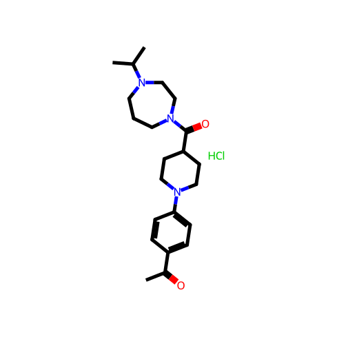 CC(=O)c1ccc(N2CCC(C(=O)N3CCCN(C(C)C)CC3)CC2)cc1.Cl